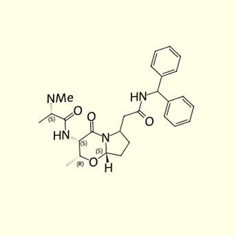 CN[C@@H](C)C(=O)N[C@@H]1C(=O)N2C(CC(=O)NC(c3ccccc3)c3ccccc3)CC[C@@H]2O[C@@H]1C